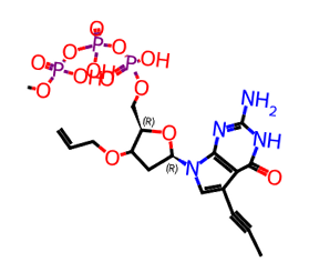 C=CCOC1C[C@H](n2cc(C#CC)c3c(=O)[nH]c(N)nc32)O[C@@H]1COP(=O)(O)OP(=O)(O)OP(=O)(O)OC